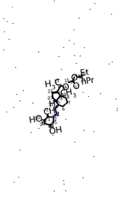 C=C1/C(=C\C=C2/CCC[C@]3(C)C(C(C)OCC(=O)O[C@@H](CC)CCC)=CC[C@@H]23)C[C@@H](O)C[C@@H]1O